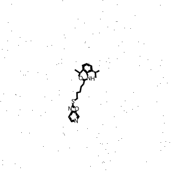 CC(C)c1cccc(C(C)C)c1NC(=O)CCCCCSc1nc2ccncc2o1